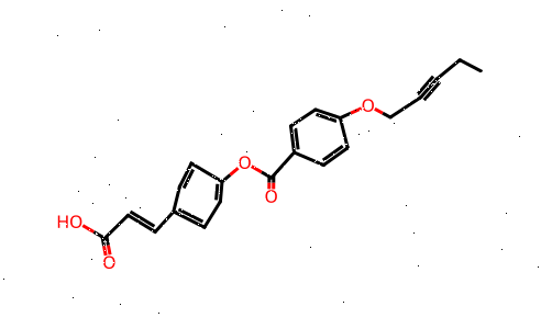 CCC#CCOc1ccc(C(=O)Oc2ccc(/C=C/C(=O)O)cc2)cc1